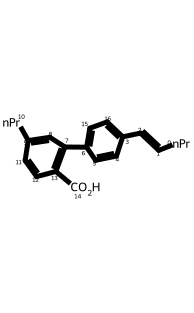 CCC/C=C/c1ccc(-c2cc(CCC)ccc2C(=O)O)cc1